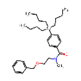 CCC[CH2][Sn]([CH2]CCC)([CH2]CCC)[c]1ccc(C(=O)N(C)CCOCc2ccccc2)cc1